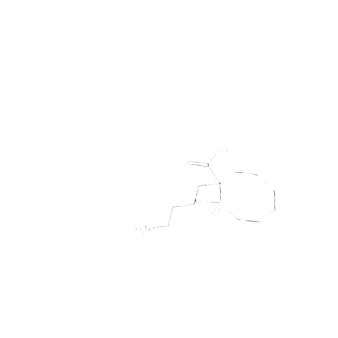 NCCCCC1(C(=O)O)CCCCCCP1(=O)O